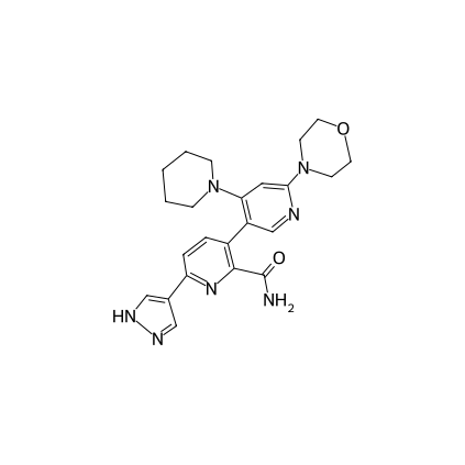 NC(=O)c1nc(-c2cn[nH]c2)ccc1-c1cnc(N2CCOCC2)cc1N1CCCCC1